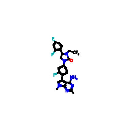 Cc1nc(N)c2c(-c3ccc(N4CC(c5ccc(F)cc5F)N(CC(F)(F)F)C4=O)cc3F)cn(C)c2n1